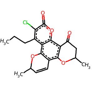 CCCc1c(Cl)c(=O)oc2c3c(c4c(c12)OC(C)C=C4)OC(C)CC3=O